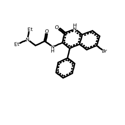 CCN(CC)CC(=O)Nc1c(-c2ccccc2)c2cc(Br)ccc2[nH]c1=O